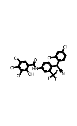 N#CC(c1ccc(Cl)cc1Cl)c1ccc(NC(=O)c2cc(Cl)c(Cl)c(Cl)c2O)cc1C(F)(F)F